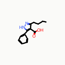 CCCCc1n[nH]c(-c2ccccc2)c1C(=O)O